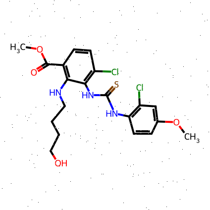 COC(=O)c1ccc(Cl)c(NC(=S)Nc2ccc(OC)cc2Cl)c1NCCCCO